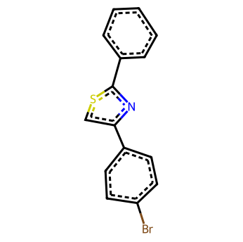 Brc1ccc(-c2csc(-c3ccccc3)n2)cc1